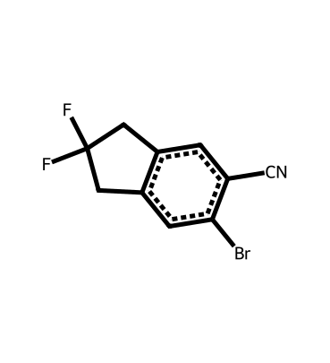 N#Cc1cc2c(cc1Br)CC(F)(F)C2